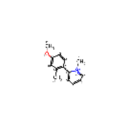 [CH2-][n+]1ccccc1-c1ccc(OC)cc1C